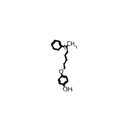 CN(CCCCCOc1ccc(O)cc1)C1=CC=CCC1